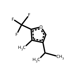 Cc1c(C(C)C)coc1C(F)(F)F